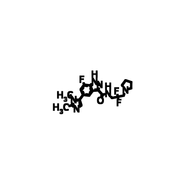 Cc1ncc(-c2cc(F)c3[nH]nc(C(=O)NCC(F)(F)CN4CCCC4)c3c2)n1C